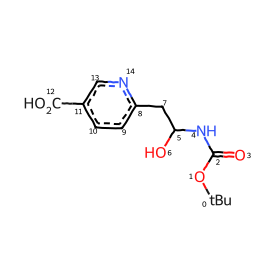 CC(C)(C)OC(=O)NC(O)Cc1ccc(C(=O)O)cn1